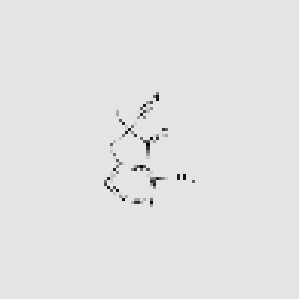 Cc1cccc2c1C(=O)C(F)(C#N)C2